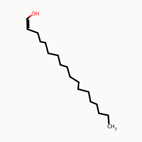 CCCCCCCCCCCCCCCC/C=[C]\O